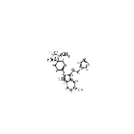 CCCCC1(N(C)C)CC=C(c2[nH]c3ccc(F)cc3c2CCn2ccnc2)CC1